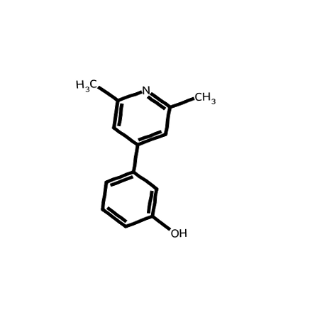 Cc1cc(-c2cccc(O)c2)cc(C)n1